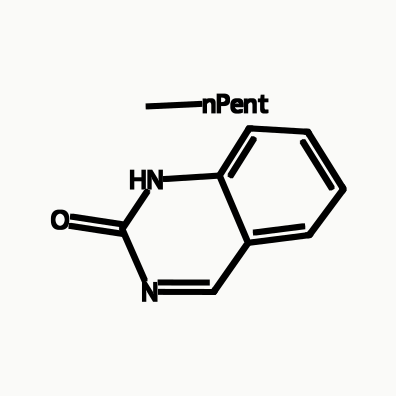 CCCCCC.O=c1ncc2ccccc2[nH]1